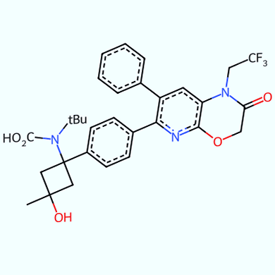 CC1(O)CC(c2ccc(-c3nc4c(cc3-c3ccccc3)N(CC(F)(F)F)C(=O)CO4)cc2)(N(C(=O)O)C(C)(C)C)C1